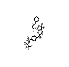 C[C@@H](OCc1ccccc1)[C@@H](C)Oc1nc(Nc2ccc(S(C)(=O)=NC(=O)C(F)(F)F)cc2)ncc1C(F)(F)F